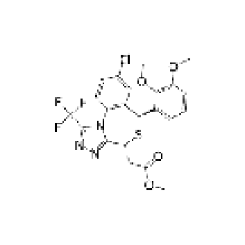 COC(=O)C[C@H]1S[C@H](c2cccc(OC)c2OC)c2cc(Cl)ccc2-n2c1nnc2C(F)(F)F